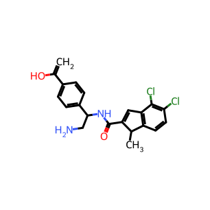 C=C(O)c1ccc(C(CN)NC(=O)C2=Cc3c(ccc(Cl)c3Cl)C2C)cc1